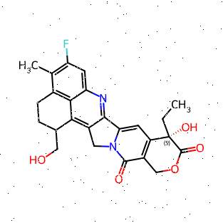 CC[C@@]1(O)C(=O)OCc2c1cc1n(c2=O)Cc2c-1nc1cc(F)c(C)c3c1c2C(CO)CC3